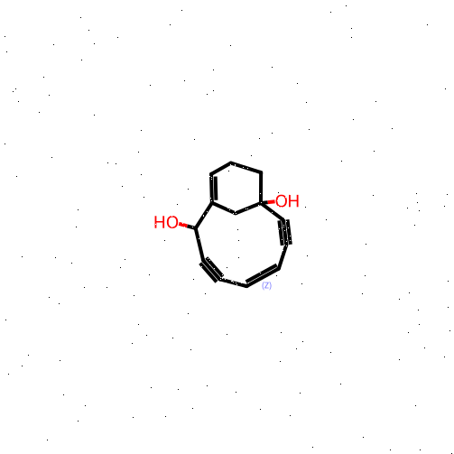 OC1C#C/C=C\C#CC2(O)CCC=C1C2